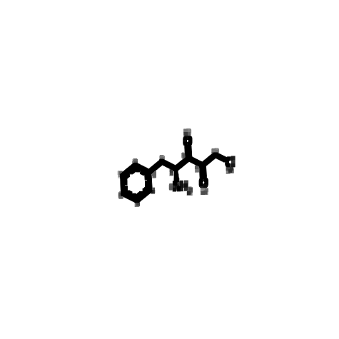 N[C@@H](Cc1ccccc1)C(=O)C(=O)CCl